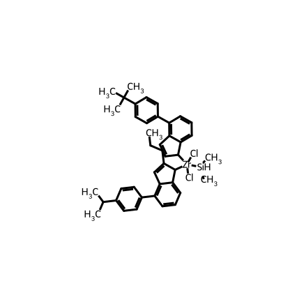 CCCC1=Cc2c(-c3ccc(C(C)C)cc3)cccc2[CH]1[Zr]([Cl])([Cl])([CH]1C=Cc2c(-c3ccc(C(C)(C)C)cc3)cccc21)[SiH](C)C